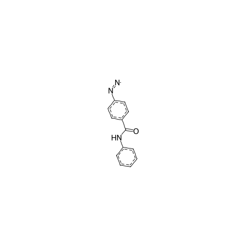 [N]=Nc1ccc(C(=O)Nc2ccccc2)cc1